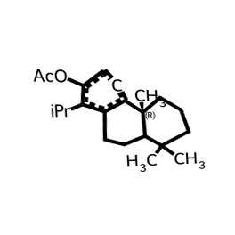 CC(=O)Oc1ccc2c(c1C(C)C)CCC1C(C)(C)CCC[C@@]21C